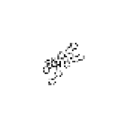 c1ccc(-c2cccc(-c3nc(-c4cccc5c4-c4ccccc4C54c5ccc6ccccc6c5-c5c4ccc4ccccc54)nc4sc5ccccc5c34)c2)cc1